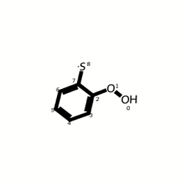 OOc1ccccc1[S]